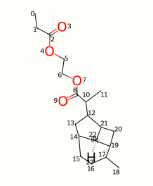 CCC(=O)OCCOC(=O)C(C)C1CC2CCC(C)C3CC1[C@H]23